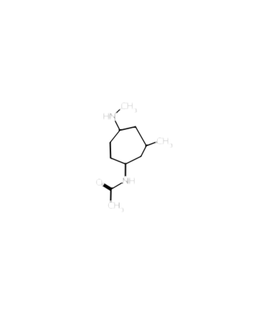 CNC1CCC(NC(C)=O)CC(C)C1